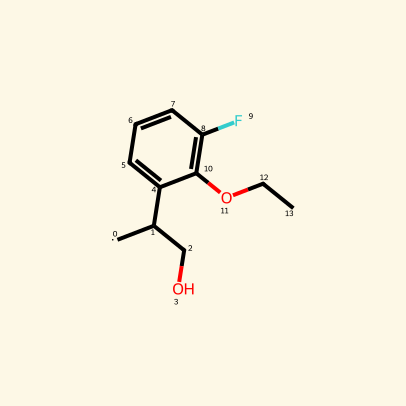 [CH2]C(CO)c1cccc(F)c1OCC